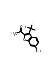 CC(=O)c1oc2cc(O)ccc2c1C(F)(F)F